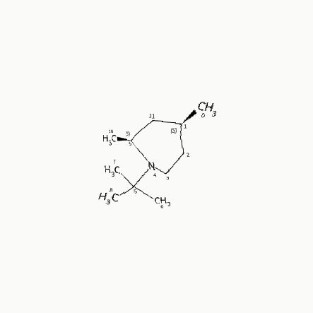 C[C@H]1CCN(C(C)(C)C)[C@@H](C)C1